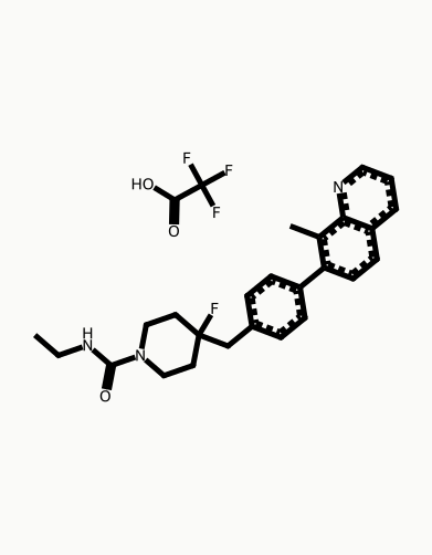 CCNC(=O)N1CCC(F)(Cc2ccc(-c3ccc4cccnc4c3C)cc2)CC1.O=C(O)C(F)(F)F